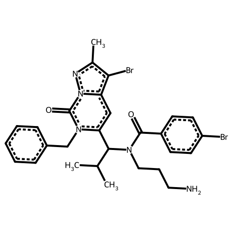 Cc1nn2c(=O)n(Cc3ccccc3)c(C(C(C)C)N(CCCN)C(=O)c3ccc(Br)cc3)cc2c1Br